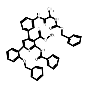 CC(NC(=O)OCc1ccccc1)C(=O)Nc1cccc(-c2cc(-c3ccccc3OCc3ccccc3)nc(NC(=O)c3ccccc3)c2C(=O)OC(C)(C)C)c1